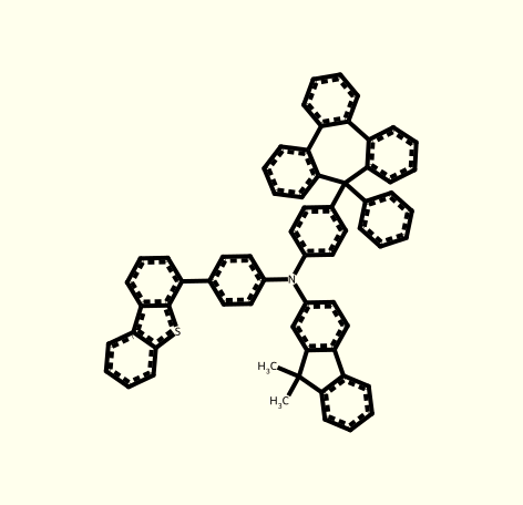 CC1(C)c2ccccc2-c2ccc(N(c3ccc(-c4cccc5c4sc4ccccc45)cc3)c3ccc(C4(c5ccccc5)c5ccccc5-c5ccccc5-c5ccccc54)cc3)cc21